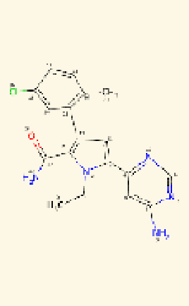 CCn1c(-c2cc(N)ncn2)cc(-c2cc(Cl)ccc2C)c1C(N)=O